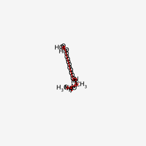 Cc1ccc(C(=O)Nc2ccc(CN3CCN(C)CC3)c(C(F)(F)F)c2)cc1C#Cc1cnc2cc(OCCOCCOCCOCCOCCOCCOCCOCCOCCOCCNC(=O)c3ccc4c(c3)COB4O)ccn12